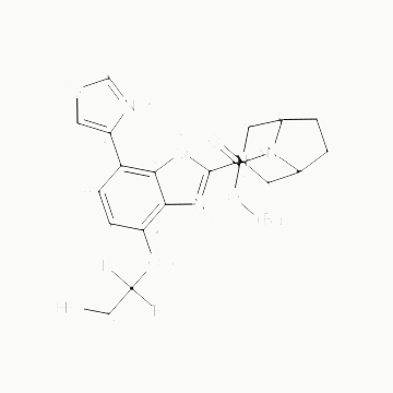 CC(C)(C)OC(=O)N1C2CCC1CN(c1nc3c(OC(F)(F)CO)ccc(-c4cscn4)c3o1)C2